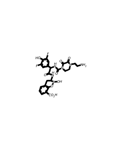 NCCN1CCN(C(=O)NC(C(=O)NC2Cc3cccc(C(=O)O)c3OB2O)c2cc(F)c(O)c(F)c2)C(=O)C1=O